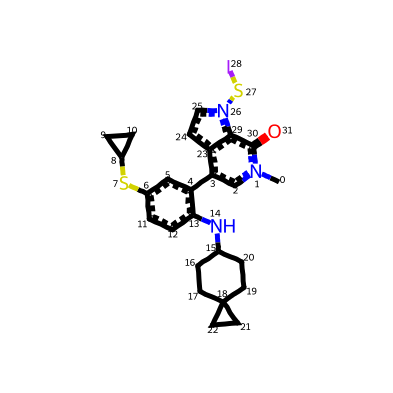 Cn1cc(-c2cc(SC3CC3)ccc2NC2CCC3(CC2)CC3)c2ccn(SI)c2c1=O